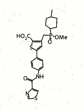 COP(=O)(Cc1cc(-c2ccc(NC(=O)c3cscn3)cc2)sc1C(=O)O)C1CCC(C)CC1